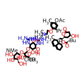 CC(=O)Oc1cc(C(C)C)c(OCCN(C)C)cc1C.CC[C@H](C)C(=O)O[C@H]1CCC=C2C=C[C@H](C)[C@H](CC[C@@H]3C[C@@H](O)CC(=O)O3)[C@H]21.CN[C@@H]1[C@H](O[C@H]2[C@H](O[C@H]3[C@H](O)[C@@H](O)[C@H](NC(=N)N)[C@@H](O)[C@@H]3NC(=N)N)O[C@@H](C)[C@]2(O)C=O)O[C@@H](CO)[C@H](O)[C@H]1O